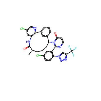 C[C@@H]1CCC[C@H](n2c(-c3cc(Cl)ccc3-n3cc(C(F)(F)F)nn3)nccc2=O)c2cccc(c2)-c2ncc(Cl)cc2NC1=O